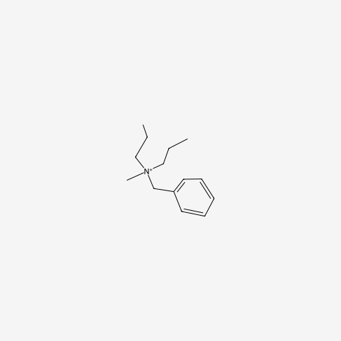 CCC[N+](C)(CCC)Cc1ccccc1